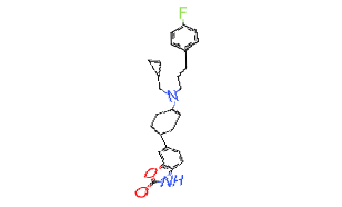 O=c1[nH]c2ccc(C3CCC(N(CCCc4ccc(F)cc4)CC4CC4)CC3)cc2o1